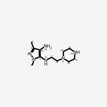 Cc1nn(C)c(NCCN2CCNCC2)c1N